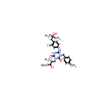 COC(=O)[C@@H](C)Cn1c(=O)[nH]/c(=N\c2ccc(CC(C)(C)O)c(Cl)c2)n(Cc2ccc(C)cc2)c1=O